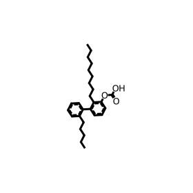 CCCCCCCCCc1c(OC(=O)O)cccc1-c1ccccc1CCCCC